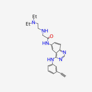 C#Cc1cccc(Nc2ncnc3ccc(NC(=O)CNCCN(CC)CC)cc23)c1